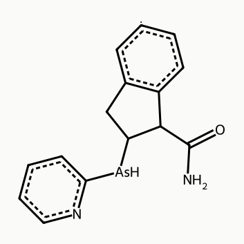 NC(=O)C1c2cc[c]cc2CC1[AsH]c1ccccn1